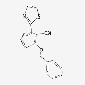 N#Cc1c(OCc2ccccc2)cccc1-c1nccs1